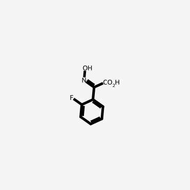 O=C(O)/C(=N\O)c1ccccc1F